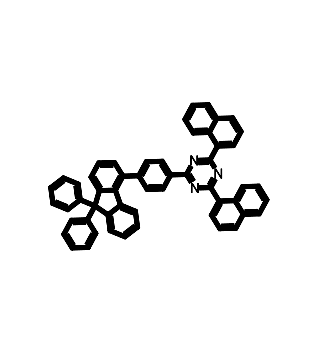 c1ccc(C2(c3ccccc3)c3ccccc3-c3c(-c4ccc(-c5nc(-c6cccc7ccccc67)nc(-c6cccc7ccccc67)n5)cc4)cccc32)cc1